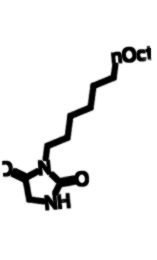 CCCCCCCCCCCCCCN1C(=O)CNC1=O